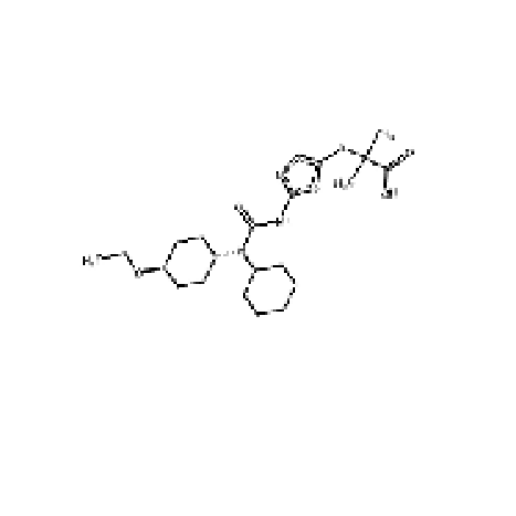 CCO[C@H]1CC[C@H](N(C(=O)Nc2ncc(SC(C)(C)C(=O)O)s2)C2CCCCC2)CC1